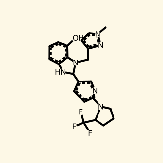 Cn1ccc(CN2c3c(O)cccc3NC2c2ccc(N3CCCC3C(F)(F)F)nc2)n1